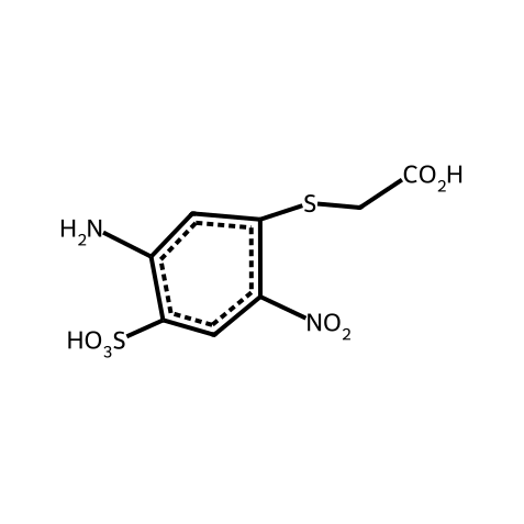 Nc1cc(SCC(=O)O)c([N+](=O)[O-])cc1S(=O)(=O)O